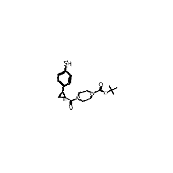 CC(C)(C)OC(=O)N1CCN(C(=O)[C@H]2CC2c2ccc(S)cc2)CC1